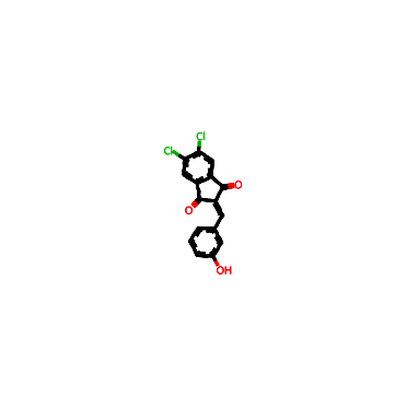 O=C1C(=Cc2cccc(O)c2)C(=O)c2cc(Cl)c(Cl)cc21